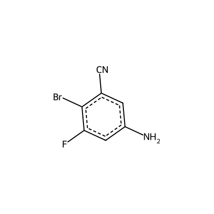 N#Cc1cc(N)cc(F)c1Br